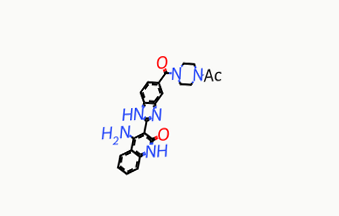 CC(=O)N1CCN(C(=O)c2ccc3[nH]c(-c4c(N)c5ccccc5[nH]c4=O)nc3c2)CC1